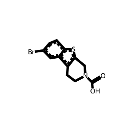 O=C(O)N1CCc2c(sc3ccc(Br)cc23)C1